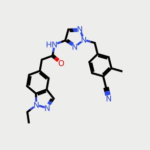 CCn1ncc2cc(CC(=O)Nc3cnn(Cc4ccc(C#N)c(C)c4)n3)ccc21